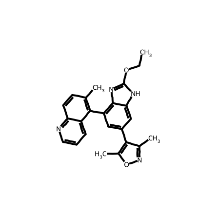 CCOc1nc2c(-c3c(C)ccc4ncccc34)cc(-c3c(C)noc3C)cc2[nH]1